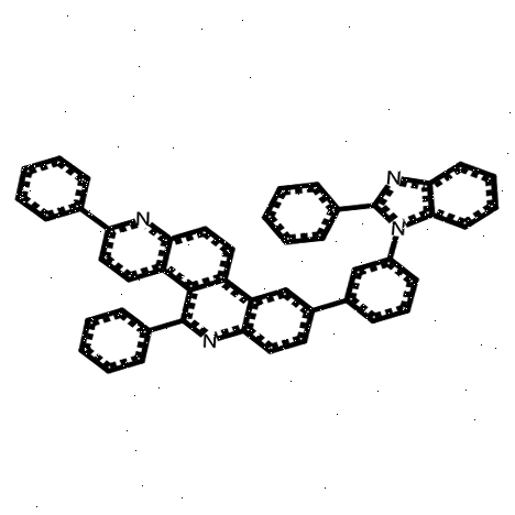 c1ccc(-c2ccc3c(ccc4c5cc(-c6cccc(-n7c(-c8ccccc8)nc8ccccc87)c6)ccc5nc(-c5ccccc5)c34)n2)cc1